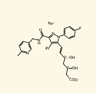 Cc1ccc(CNC(=O)c2nn(-c3ccc(F)cc3)c(C=C[C@H](O)C[C@@H](O)CC(=O)[O-])c2C(C)C)cn1.[Na+]